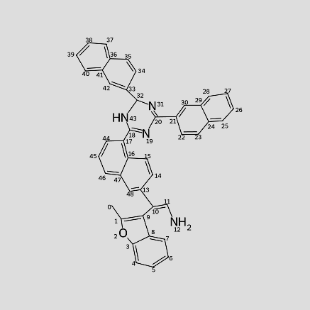 Cc1oc2ccccc2c1/C(=C\N)c1ccc2c(C3=NC(c4ccc5ccccc5c4)=NC(c4ccc5ccccc5c4)N3)cccc2c1